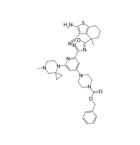 CN1CCN(c2cc(N3CCN(C(=O)OCc4ccccc4)CC3)cc(-c3noc(C4(C)CCCc5sc(N)c(C#N)c54)n3)n2)C2(CC2)C1